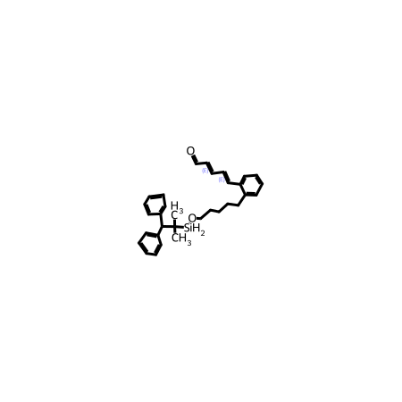 CC(C)([SiH2]OCCCCCc1ccccc1/C=C/C=C/C=O)C(c1ccccc1)c1ccccc1